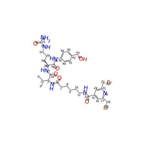 CC(C)C(NC(=O)CCCCCNC(=O)c1cc(CBr)nc(CBr)c1)C(=O)N[C@@H](CCCNC(N)=O)C(=O)Nc1ccc(CO)cc1